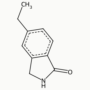 CCc1ccc2c(c1)CNC2=O